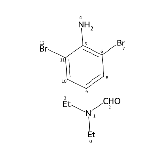 CCN(C=O)CC.Nc1c(Br)cccc1Br